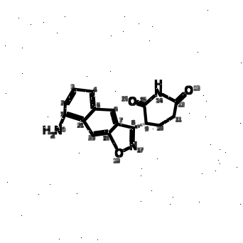 Nc1cccc2cc3c([C@H]4CCC(=O)NC4=O)noc3cc12